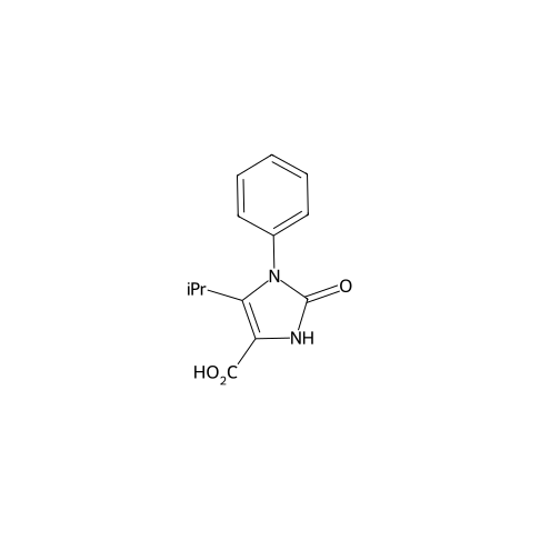 CC(C)c1c(C(=O)O)[nH]c(=O)n1-c1ccccc1